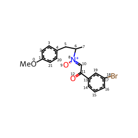 COc1ccc(CC(C)[N+]([O-])=CC(=O)c2cccc(Br)c2)cc1